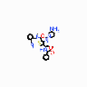 C=C(NC(C(=O)OC)c1ccccc1)c1csc(C(=O)N(C)Cc2ccccc2C#N)c1/N=C/N1CCC[C@@H](N)C1